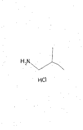 CC(C)CN.Cl